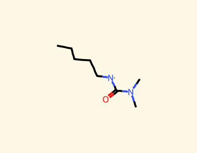 CCCCC[N]C(=O)N(C)C